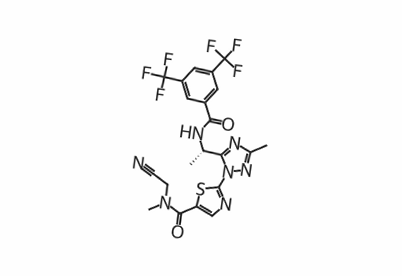 Cc1nc([C@H](C)NC(=O)c2cc(C(F)(F)F)cc(C(F)(F)F)c2)n(-c2ncc(C(=O)N(C)CC#N)s2)n1